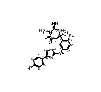 CN1C(=N)NC(C)(c2cc(Nc3nc(-c4ccc(F)cc4)cs3)ccc2F)CS1(=O)=O